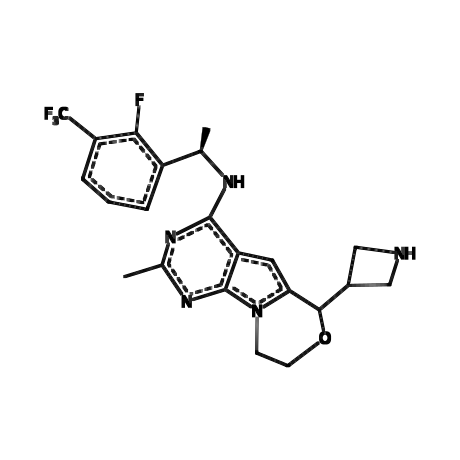 Cc1nc(N[C@H](C)c2cccc(C(F)(F)F)c2F)c2cc3n(c2n1)CCOC3C1CNC1